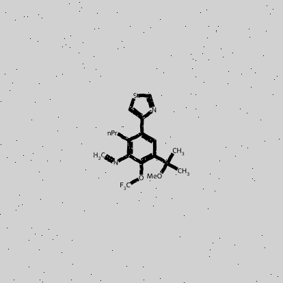 C=Nc1c(CCC)c(-c2cscn2)cc(C(C)(C)OC)c1OC(F)(F)F